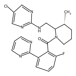 C[C@@H]1CCCN(C(=O)c2c(F)cccc2-c2ncccn2)C1CNc1ncc(Cl)cn1